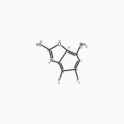 Bc1cc(F)c(F)c2nc(S)oc12